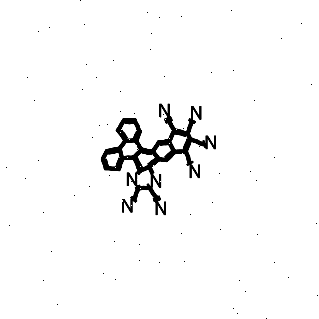 N#Cc1nc2c3cc4c(C#N)c(C#N)c(C#N)c(C#N)c4cc3c3c4ccccc4c4ccccc4c3c2nc1C#N